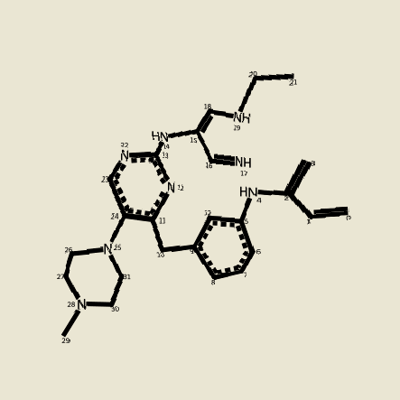 C=CC(=C)Nc1cccc(Cc2nc(N/C(C=N)=C/NCC)ncc2N2CCN(C)CC2)c1